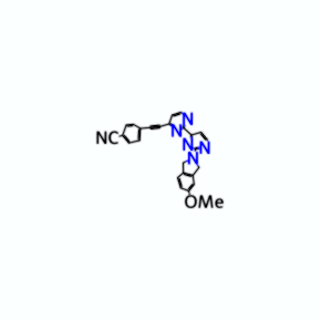 COc1ccc2c(c1)CN(c1nccc(-c3nccc(C#Cc4ccc(C#N)cc4)n3)n1)C2